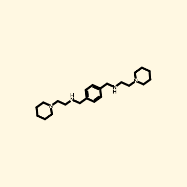 c1cc(CNCCN2CCCCC2)ccc1CNCCN1CCCCC1